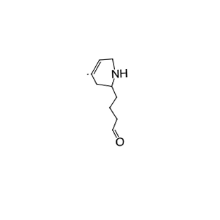 O=CCCCC1C[C]=CCN1